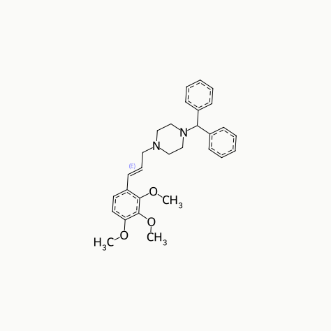 COc1ccc(/C=C/CN2CCN(C(c3ccccc3)c3ccccc3)CC2)c(OC)c1OC